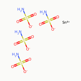 NS(=O)(=O)[O-].NS(=O)(=O)[O-].NS(=O)(=O)[O-].NS(=O)(=O)[O-].[Sn+4]